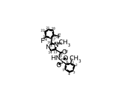 Cc1ccccc1S(=O)(=O)NC(=O)c1cnc(-c2c(F)cccc2F)n1C